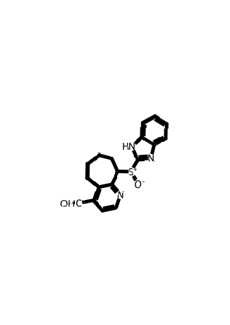 O=Cc1ccnc2c1CCCCC2[S+]([O-])c1nc2ccccc2[nH]1